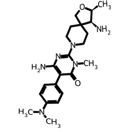 C[C@@H]1OCC2(CCN(c3nc(N)c(-c4ccc(N(C)C)cc4)c(=O)n3C)CC2)[C@@H]1N